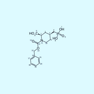 O=C(O)[C@H]1C[C@@H](CP(=O)(O)O)CCN1C(=O)OCc1ccccc1